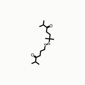 CC(C)C(=O)CCCSSC(C)(C)CCC(=O)C(C)C